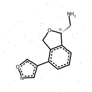 NC[C@H]1OCc2c(-c3cnoc3)cccc21